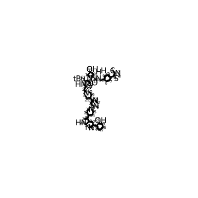 Cc1ncsc1-c1ccc(CNC(=O)[C@@H]2C[C@@H](O)CN2C(=O)[C@@H](NC(=O)CN2CCC(c3cc(N4CCC(c5c[nH]c6nnc(-c7ccccc7O)cc56)CC4)ncn3)CC2)C(C)(C)C)cc1